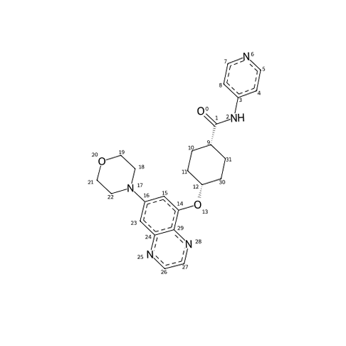 O=C(Nc1ccncc1)[C@H]1CC[C@@H](Oc2cc(N3CCOCC3)cc3nccnc23)CC1